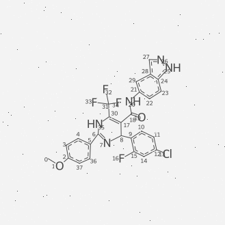 COc1ccc(C2=NC(c3ccc(Cl)cc3F)C(C(=O)Nc3ccc4[nH]ncc4c3)=C(C(F)(F)F)N2)cc1